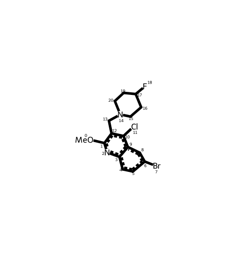 COc1nc2ccc(Br)cc2c(Cl)c1CN1CCC(F)CC1